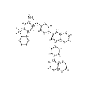 CC1(C)c2ccccc2-c2cc(Nc3ccc(-c4nc(-c5ccc(-c6cccc7ccccc67)nc5)c5ccccc5n4)cc3)c(N)cc21